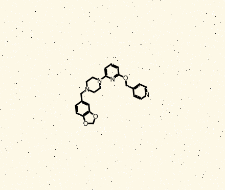 c1cc(OCc2ccncc2)nc(N2CCN(Cc3ccc4c(c3)OCO4)CC2)c1